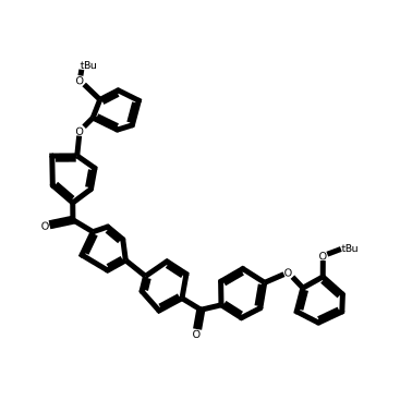 CC(C)(C)Oc1ccccc1Oc1ccc(C(=O)c2ccc(-c3ccc(C(=O)c4ccc(Oc5ccccc5OC(C)(C)C)cc4)cc3)cc2)cc1